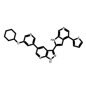 c1csc(-c2cncc3[nH]c(-c4n[nH]c5ncc(-c6cncc(OC7CCCCC7)c6)cc45)cc23)c1